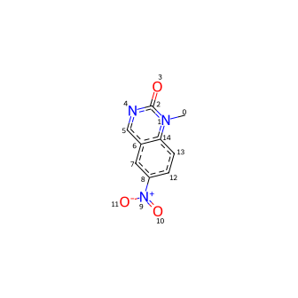 Cn1c(=O)ncc2cc([N+](=O)[O-])ccc21